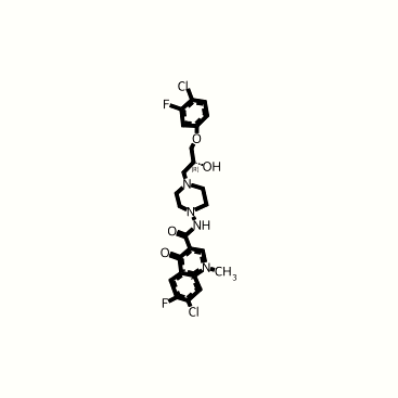 Cn1cc(C(=O)NN2CCN(C[C@@H](O)COc3ccc(Cl)c(F)c3)CC2)c(=O)c2cc(F)c(Cl)cc21